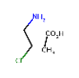 CC(=O)O.NCCCl